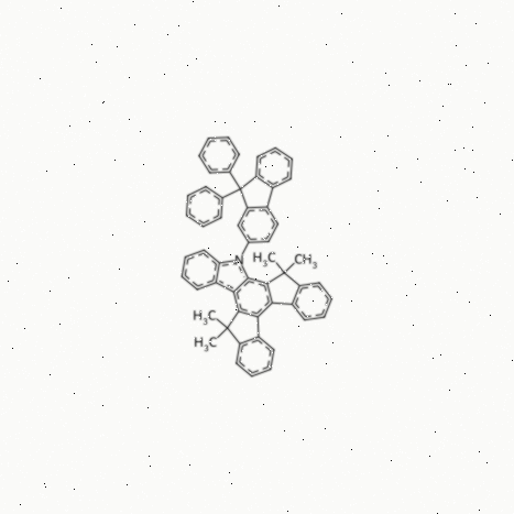 CC1(C)c2ccccc2-c2c3c(c4c(c21)c1ccccc1n4-c1ccc2c(c1)C(c1ccccc1)(c1ccccc1)c1ccccc1-2)C(C)(C)c1ccccc1-3